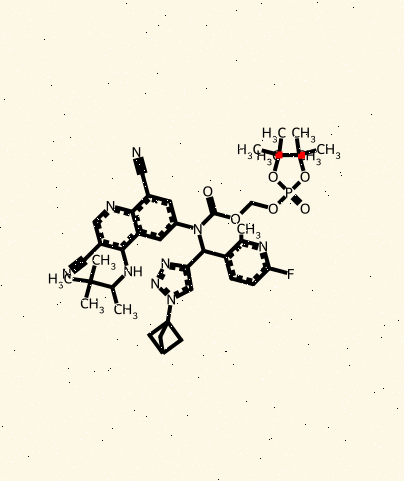 Cc1nc(F)ccc1C(c1cn(C23CC(C2)C3)nn1)N(C(=O)OCOP(=O)(OC(C)(C)C)OC(C)(C)C)c1cc(C#N)c2ncc(C#N)c(NC(C)C(C)(C)C)c2c1